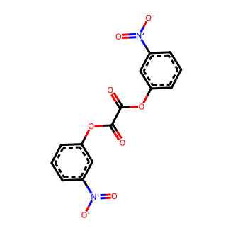 O=C(Oc1cccc([N+](=O)[O-])c1)C(=O)Oc1cccc([N+](=O)[O-])c1